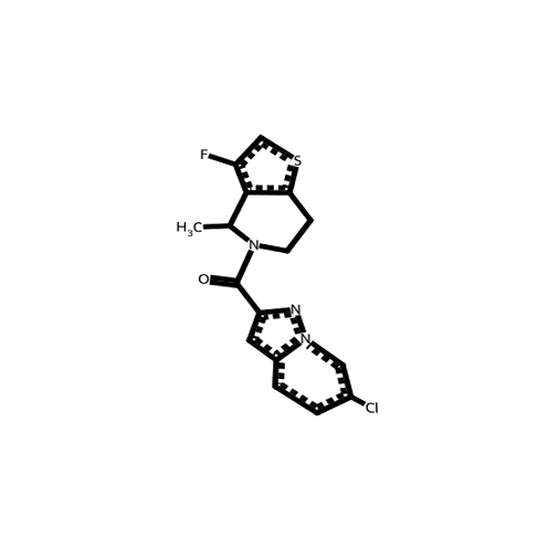 CC1c2c(F)csc2CCN1C(=O)c1cc2ccc(Cl)cn2n1